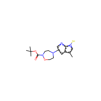 Cc1cn(S)c2ncc(N3CCON(C(=O)OC(C)(C)C)CC3)cc12